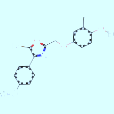 CCOc1ccc(OCc2nc(-c3ccc(OC)cc3)c(Br)o2)cc1C